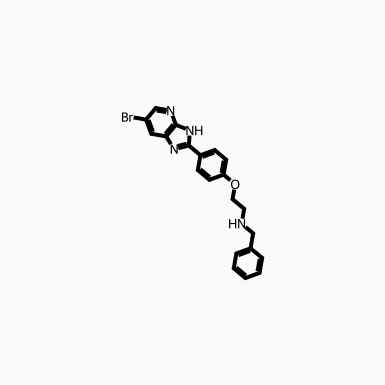 Brc1cnc2[nH]c(-c3ccc(OCCNCc4ccccc4)cc3)nc2c1